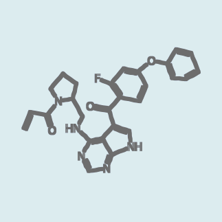 C=CC(=O)N1CCCC1CNc1ncnc2[nH]cc(C(=O)c3ccc(Oc4ccccc4)cc3F)c12